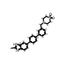 Cc1nc2ccc(-c3ccc(-c4cccc(CN5CCS(=O)(=O)CC5)c4)cc3)cc2[nH]1